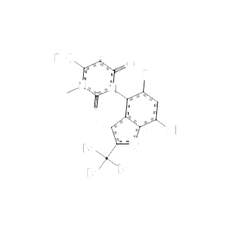 Cn1c(C(F)(F)F)cc(=O)n(-c2c(F)cc(Cl)c3oc(C(Br)(Br)Br)cc23)c1=O